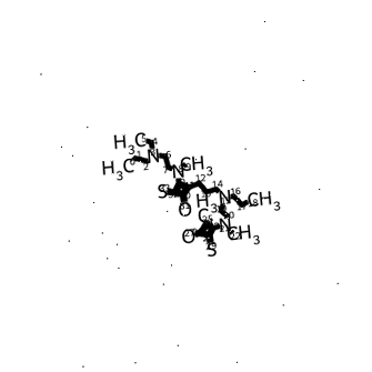 CCCN(CC)CCN(C)c1c(CCCN(CCC)CCN(C)c2c(C)c(=O)c2=S)c(=O)c1=S